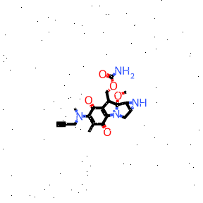 C#CCN(C)C1=C(C)C(=O)C2=C(C1=O)C(COC(N)=O)C1(OC)C3NC3CN21